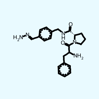 NN=Cc1ccc(CNC(=O)[C@@H]2CCCN2C(=O)C(N)Cc2ccccc2)cc1